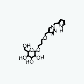 OCC1OC(OCCCOCc2cn(Cc3ccc[nH]3)nn2)C(O)C(O)C1O